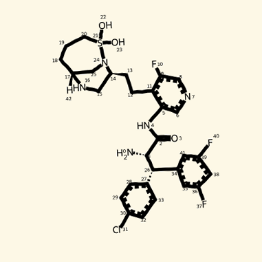 N[C@H](C(=O)Nc1cncc(F)c1CC[C@H]1CN[C@@H]2CCCS(O)(O)N1C2)[C@@H](c1ccc(Cl)cc1)c1cc(F)cc(F)c1